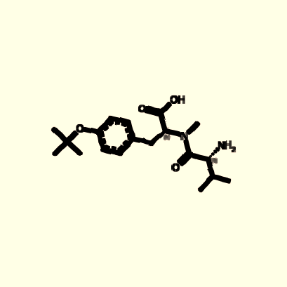 CC(C)[C@@H](N)C(=O)N(C)[C@@H](Cc1ccc(OC(C)(C)C)cc1)C(=O)O